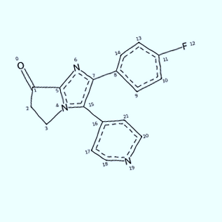 O=C1CCn2c1nc(-c1ccc(F)cc1)c2-c1ccncc1